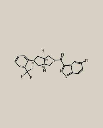 O=C(c1nnc2ccc(Cl)cn12)N1C[C@H]2C[C@@H](c3ccccc3C(F)(F)F)C[C@H]2C1